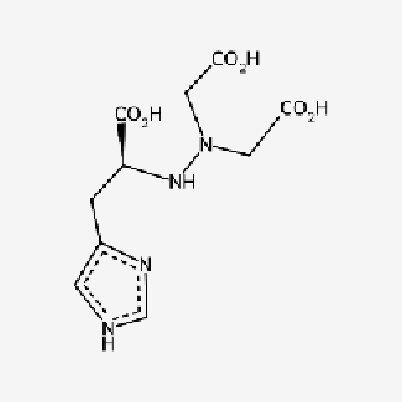 O=C(O)CN(CC(=O)O)N[C@@H](Cc1c[nH]cn1)C(=O)O